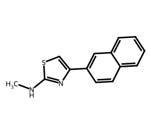 CNc1nc(-c2ccc3ccccc3c2)cs1